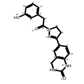 O=C1NCc2cc(C3=NN(C(=O)Cc4cccc(O)c4)CC3)ccc2N1